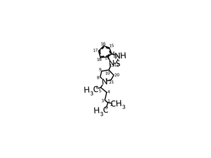 CC(C)CCC(C)N1CCC(N2SNc3ccccc32)CC1